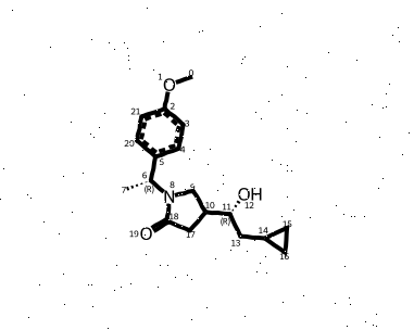 COc1ccc([C@@H](C)N2CC([C@H](O)CC3CC3)CC2=O)cc1